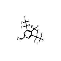 O=Cc1cc(C(F)(F)C(F)(F)F)c(C(F)(F)F)c(C(F)(F)C(F)(F)F)c1